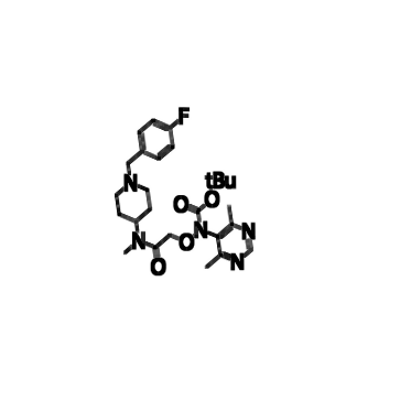 Cc1ncnc(C)c1N(OCC(=O)N(C)C1CCN(Cc2ccc(F)cc2)CC1)C(=O)OC(C)(C)C